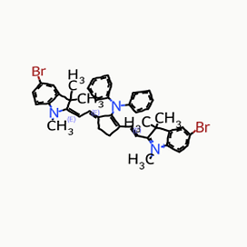 CN1/C(=C/C=C2\CCC(/C=C/C3=[N+](C)c4ccc(Br)cc4C3(C)C)=C2N(c2ccccc2)c2ccccc2)C(C)(C)c2cc(Br)ccc21